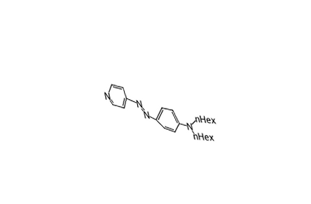 CCCCCCN(CCCCCC)c1ccc(N=Nc2ccncc2)cc1